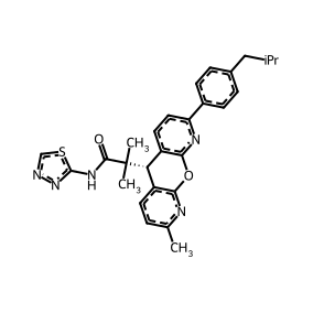 Cc1ccc2c(n1)Oc1nc(-c3ccc(CC(C)C)cc3)ccc1[C@H]2C(C)(C)C(=O)Nc1nncs1